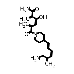 C=C(/C=C\C=C\C1CCN(C(=O)C(=C)/C=C(/O)C(=C)C(N)=O)CC1)CN